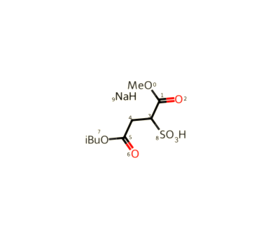 COC(=O)C(CC(=O)OCC(C)C)S(=O)(=O)O.[NaH]